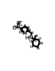 CC1(NCc2ccc([N+](=O)[O-])cn2)CCCCC1